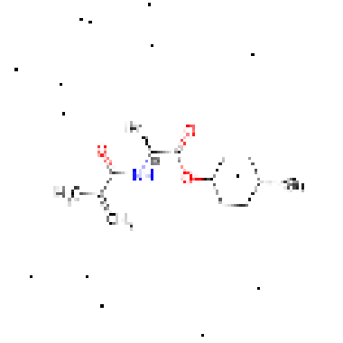 C=C(C)C(=O)N[C@H](C(=O)O[C@H]1CC[C@H](C(C)(C)C)CC1)C(C)C